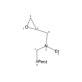 CCCCCCN(CC)CC1CO1